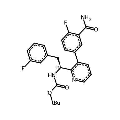 CC(C)(C)OC(=O)N[C@@H](Cc1cccc(F)c1)c1ncccc1-c1ccc(F)c(C(N)=O)c1